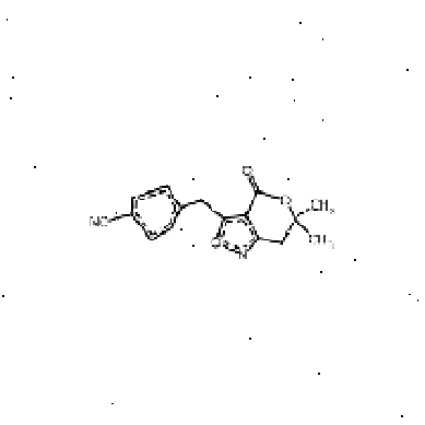 CC1(C)Cc2noc(Cc3ccc(C#N)cc3)c2C(=O)O1